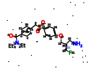 CCN(CC)C(=O)C12CCC(CS(=O)(=O)c3ccc(OC/C(=C/F)CN)cc3)(CC1)CC2